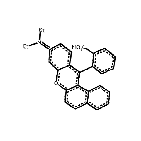 CC[N+](CC)=c1ccc2c(-c3ccccc3C(=O)O)c3c(ccc4ccccc43)oc-2c1